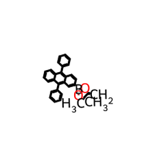 C=C1OB(c2ccc3c(-c4ccccc4)c4ccccc4c(-c4ccccc4)c3c2)OC1(C)C